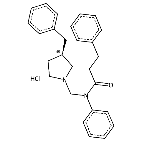 Cl.O=C(CCc1ccccc1)N(CN1CC[C@@H](Cc2ccccc2)C1)c1ccccc1